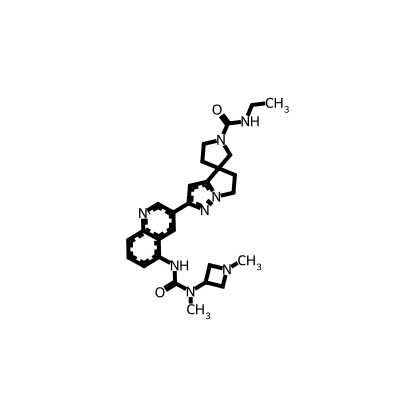 CCNC(=O)N1CCC2(CCn3nc(-c4cnc5cccc(NC(=O)N(C)C6CN(C)C6)c5c4)cc32)C1